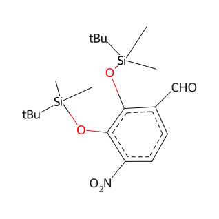 CC(C)(C)[Si](C)(C)Oc1c(C=O)ccc([N+](=O)[O-])c1O[Si](C)(C)C(C)(C)C